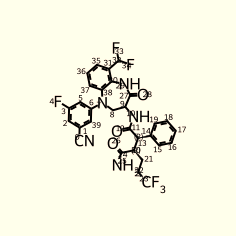 N#Cc1cc(F)cc(N2CC(NC(=O)[C@@H](c3ccccc3)[C@@H](CCC(F)(F)F)C(N)=O)C(=O)Nc3c(C(F)F)cccc32)c1